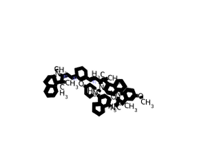 COc1ccc2c(c1)C(C)(C)C1(C=Nc3c(cc(N4CCC(OC5=C(/C=C/C6=[N+](C)c7ccc8ccccc8c7C6(C)C)CCC/C5=C\C=C5\N(C)c6ccc7ccccc7c6C5(C)C)CC4)c4ccccc34)O1)N2